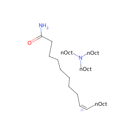 CCCCCCCC/C=C\CCCCCCCC(N)=O.CCCCCCCCN(CCCCCCCC)CCCCCCCC